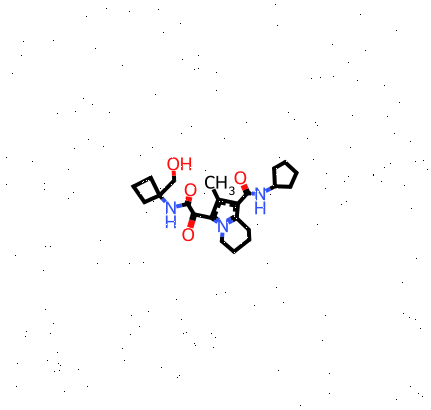 Cc1c(C(=O)NC2CCCC2)c2n(c1C(=O)C(=O)NC1(CO)CCC1)CCCC2